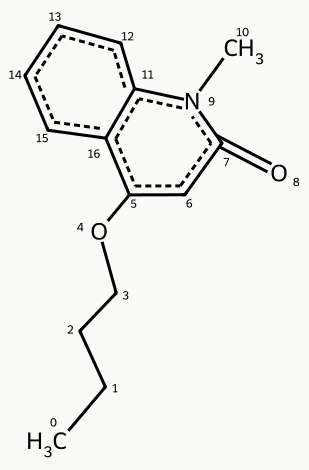 CCCCOc1cc(=O)n(C)c2ccccc12